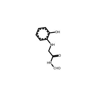 O=CNC(=O)CNc1ccccc1O